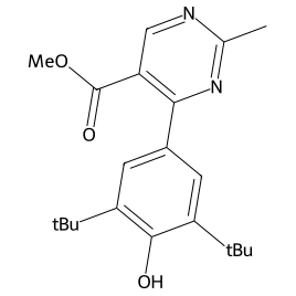 COC(=O)c1cnc(C)nc1-c1cc(C(C)(C)C)c(O)c(C(C)(C)C)c1